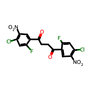 O=C(CCC(=O)c1cc([N+](=O)[O-])c(Cl)cc1F)c1cc([N+](=O)[O-])c(Cl)cc1F